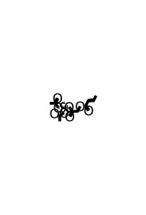 CC=CC(=O)OCC(=O)O[Si](C)(OC(C)=O)OC(C)=O